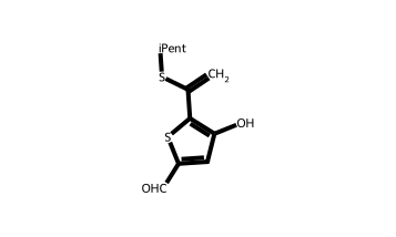 C=C(SC(C)CCC)c1sc(C=O)cc1O